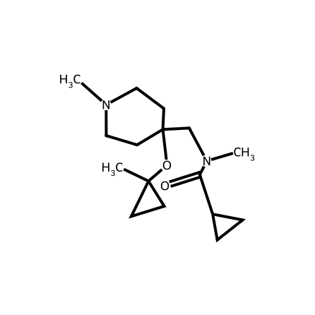 CN1CCC(CN(C)C(=O)C2CC2)(OC2(C)CC2)CC1